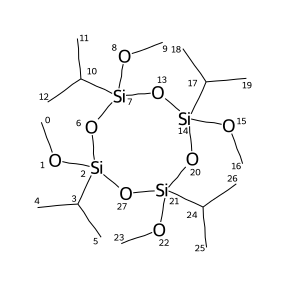 CO[Si]1(C(C)C)O[Si](OC)(C(C)C)O[Si](OC)(C(C)C)O[Si](OC)(C(C)C)O1